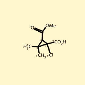 COC(=O)C1C(C)(C)C1(Cl)C(=O)O